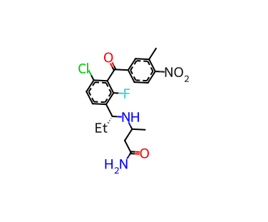 CC[C@@H](NC(C)CC(N)=O)c1ccc(Cl)c(C(=O)c2ccc([N+](=O)[O-])c(C)c2)c1F